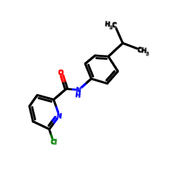 CC(C)c1ccc(NC(=O)c2cccc(Cl)n2)cc1